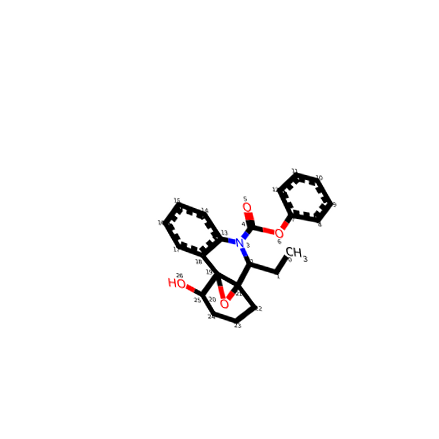 CCC1N(C(=O)Oc2ccccc2)c2ccccc2C23OC12CCCC3O